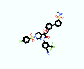 CNS(=O)(=O)c1cccc(-c2cccc(CC(O)(C(=O)Nc3ccc(C#N)c(C(F)(F)F)c3)C3CCN(S(=O)(=O)c4ccc(F)cc4)CC3)c2)c1